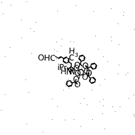 Cc1cc(/C=C/CC=O)ccc1Cc1c(O[C@@H]2O[C@H](COC(=O)c3ccccc3)[C@@H](OC(=O)c3ccccc3)[C@H](OC(=O)c3ccccc3)[C@H]2CC(=O)c2ccccc2)n[nH]c1C(C)C